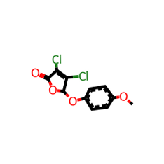 COc1ccc(OC2OC(=O)C(Cl)=C2Cl)cc1